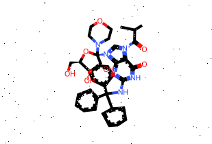 CC(C)C(=O)[n+]1cn([C@]2(N3CCOCC3)O[C@H](CO)[C@@H](O)[C@H]2O)c2nc(NC(c3ccccc3)(c3ccccc3)c3ccccc3)[nH]c(=O)c21